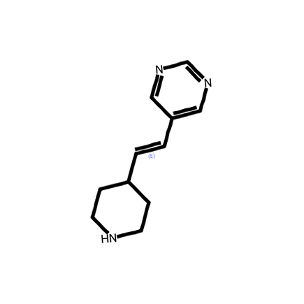 C(=C\C1CCNCC1)/c1cncnc1